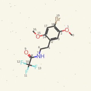 COc1cc(CCNC(=O)C(F)(F)F)c(OC)cc1Br